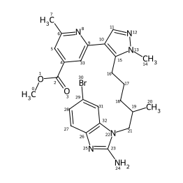 COC(=O)c1cc(C)nc(-c2cnn(C)c2CCCC(C)Cn2c(N)nc3ccc(Br)cc32)c1